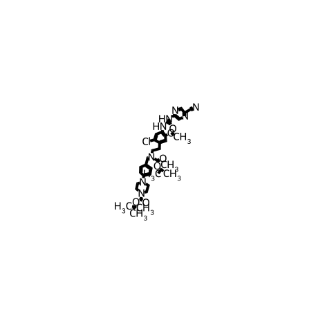 COc1cc(CCN(Cc2ccc(N3CCN(C(=O)OC(C)(C)C)CC3)cc2)C(=O)OC(C)(C)C)c(Cl)cc1NC(=O)Nc1cnc(C#N)cn1